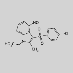 Cc1c(S(=O)(=O)c2ccc(Cl)cc2)c2c(N=O)cccc2n1CC(=O)O